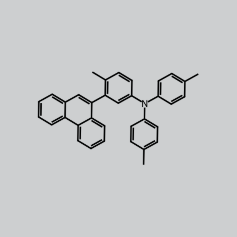 Cc1ccc(N(c2ccc(C)cc2)c2ccc(C)c(-c3cc4ccccc4c4ccccc34)c2)cc1